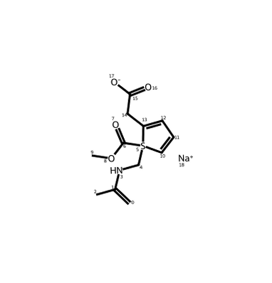 C=C(C)NCS1(C(=O)OC)C=CC=C1CC(=O)[O-].[Na+]